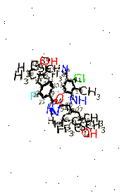 Cc1c(N[C@@H](c2nnc(-c3ccc(CC(C)(C)[Si](C)(C)O)c(F)c3)o2)[C@H](C)CC(C)(C)[Si](C)(C)O)ccc(C#N)c1Cl